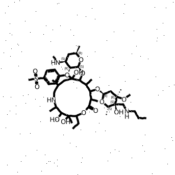 CCCNC[C@]1(O)[C@H](C)O[C@@H](OC2C(C)C(=O)OC(CC)C(C)(O)C(O)C(C)NCC(C)CC(C)(O)C(O[C@@H]3O[C@H](C)C[C@H](NC)[C@H]3Oc3ccc(S(C)(=O)=O)cc3)C2C)C[C@@]1(C)OC